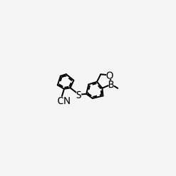 CB1OCc2cc(Sc3ccccc3C#N)ccc21